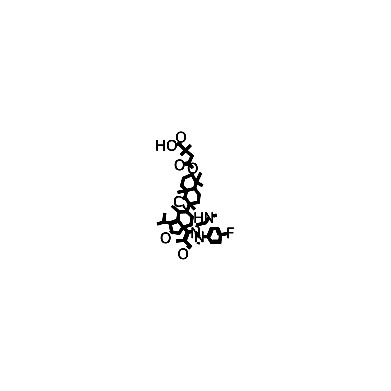 CNCCN(/C(=C(/C)C=O)C12CC[C@]3(C)C(CCC4C5(C)CCC(OC(=O)CC(C)(C)C(=O)O)C(C)(C)C5CCC43C)C1=C(C(C)C)C(=O)C2)N(C)c1ccc(F)cc1